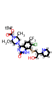 C[C@@H]1CN(c2nc(=O)[nH]c3c(SCC(CO)c4ccccn4)c(Cl)c(C(F)(F)F)cc23)C[C@H](C)N1C(=O)OC(C)(C)C